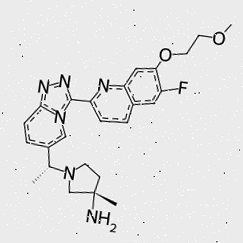 COCCOc1cc2nc(-c3nnc4ccc([C@@H](C)N5CC[C@](C)(N)C5)cn34)ccc2cc1F